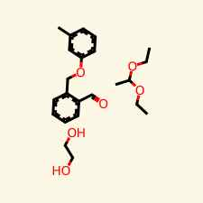 CCOC(C)OCC.Cc1cccc(OCc2ccccc2C=O)c1.OCCO